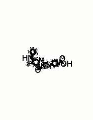 O=C(O)N1CCC(SCc2nc3cc(NC4CCCC4)c(F)cc3c(=O)[nH]2)CC1